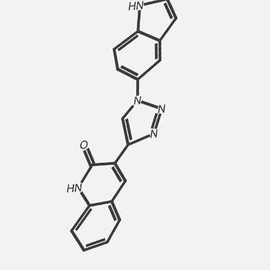 O=c1[nH]c2ccccc2cc1-c1cn(-c2ccc3[nH]ccc3c2)nn1